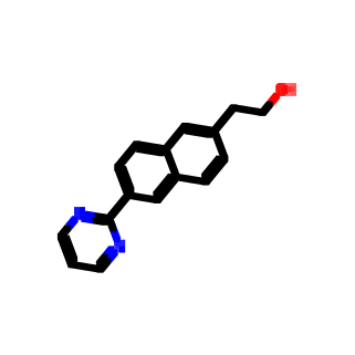 OCCc1ccc2cc(-c3ncccn3)ccc2c1